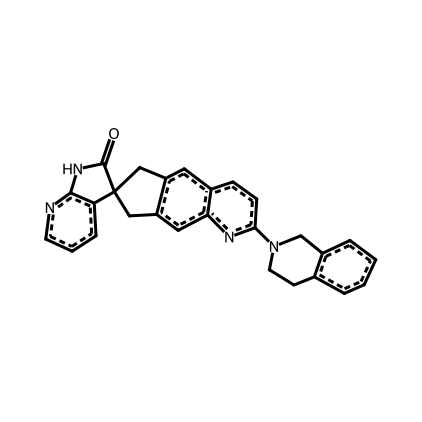 O=C1Nc2ncccc2C12Cc1cc3ccc(N4CCc5ccccc5C4)nc3cc1C2